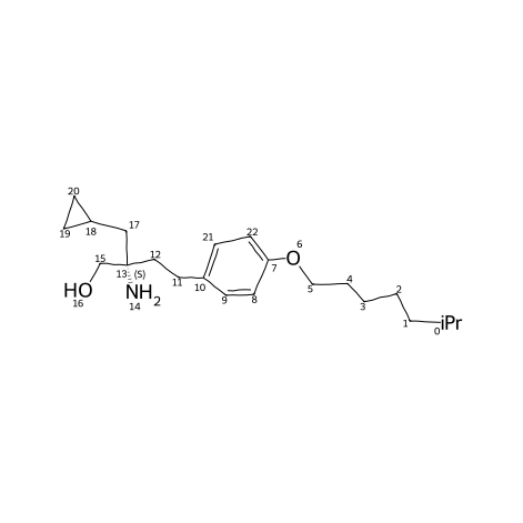 CC(C)CCCCCOc1ccc(CC[C@@](N)(CO)CC2CC2)cc1